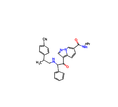 CCCNC(=O)c1ccc2c(C(=O)C(NCC(C)c3ccc(C#N)cc3)c3ccccc3)cnn2c1